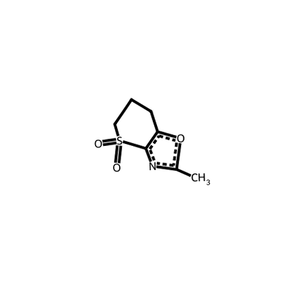 Cc1nc2c(o1)CCCS2(=O)=O